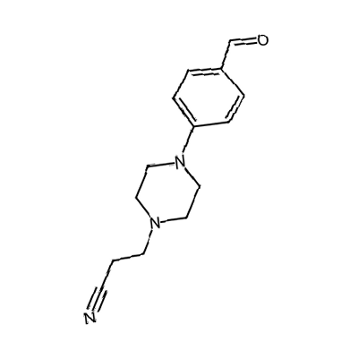 N#CCCN1CCN(c2ccc(C=O)cc2)CC1